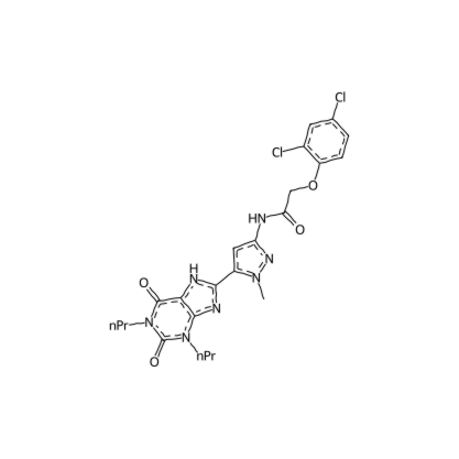 CCCn1c(=O)c2[nH]c(-c3cc(NC(=O)COc4ccc(Cl)cc4Cl)nn3C)nc2n(CCC)c1=O